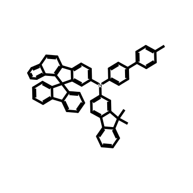 Cc1ccc(-c2ccc(N(c3ccc4c(c3)C(C)(C)c3ccccc3-4)c3ccc4c(c3)C3(c5ccccc5-c5ccccc53)c3c-4ccc4ccccc34)cc2)cc1